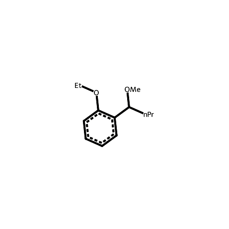 CCCC(OC)c1ccccc1OCC